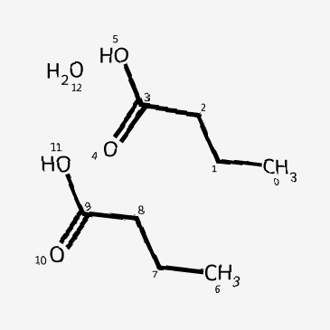 CCCC(=O)O.CCCC(=O)O.O